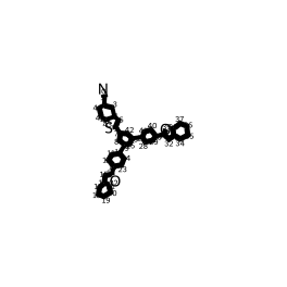 N#CC1=CC2C=C(c3cc(-c4ccc(-c5cc6ccccc6o5)cc4)cc(-c4ccc(-c5cc6ccccc6o5)cc4)c3)SC2C=C1